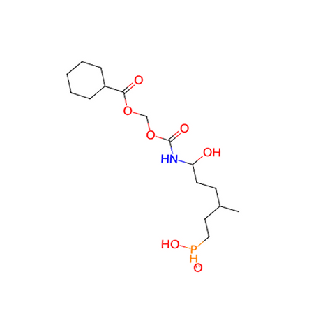 CC(CCC(O)NC(=O)OCOC(=O)C1CCCCC1)CC[PH](=O)O